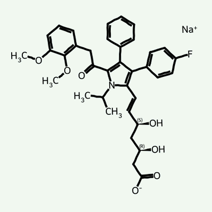 COc1cccc(CC(=O)c2c(-c3ccccc3)c(-c3ccc(F)cc3)c(C=C[C@@H](O)C[C@@H](O)CC(=O)[O-])n2C(C)C)c1OC.[Na+]